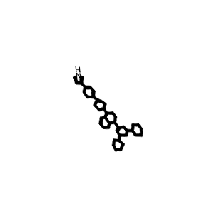 C1=CC2C(C3CC=C(C4=CC=C(c5cc[nH]c5)CC4)CC3)CCC(C3=CC(C4CCCCC4)CC(C4CCCCC4)C3)C2CC1